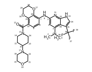 CN(C)c1cc(Nc2ccc(C(=O)N3CCC(N4CCOCC4)CC3)c3c2OCCO3)nc2[nH]cc(C(F)(F)F)c12